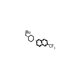 CCC(C)C[C@H]1CC[C@H](c2ccc3cc(C(F)(F)F)ccc3c2)CC1